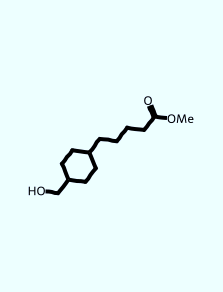 COC(=O)CCCCC1CCC(CO)CC1